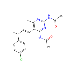 Cc1nc(NC(=O)C(C)C)nc(NC(=O)C(C)C)c1/C=C/C(C)c1ccc(Cl)cc1